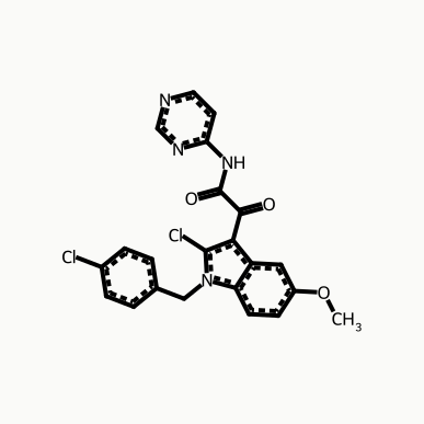 COc1ccc2c(c1)c(C(=O)C(=O)Nc1ccncn1)c(Cl)n2Cc1ccc(Cl)cc1